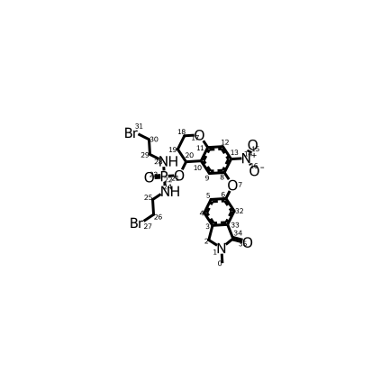 CN1Cc2ccc(Oc3cc4c(cc3[N+](=O)[O-])OCCC4OP(=O)(NCCBr)NCCBr)cc2C1=O